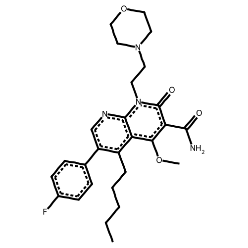 CCCCCc1c(-c2ccc(F)cc2)cnc2c1c(OC)c(C(N)=O)c(=O)n2CCN1CCOCC1